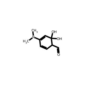 CN(C)C1=CC(O)(O)C(C=O)C=C1